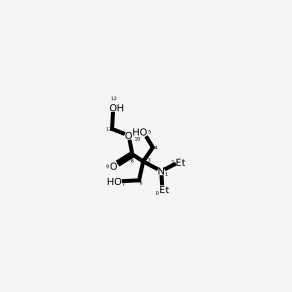 CCN(CC)C(CO)(CO)C(=O)OCO